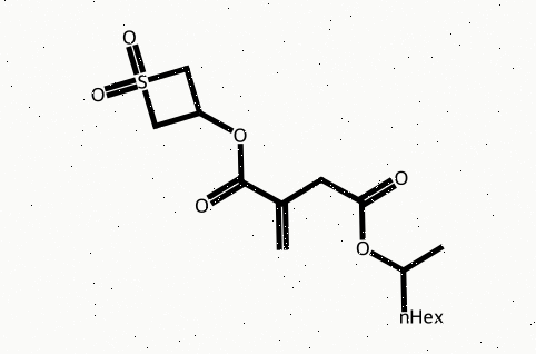 C=C(CC(=O)OC(C)CCCCCC)C(=O)OC1CS(=O)(=O)C1